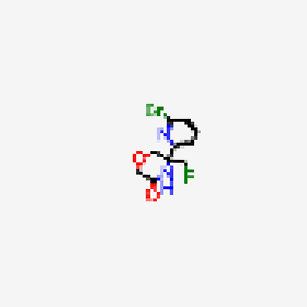 O=C1COCC(CF)(c2cccc(Br)n2)N1